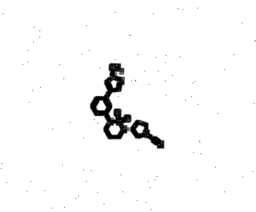 Cn1cc(-c2cccc(N3CCCN([C@@H]4CCN(C#N)C4)S3(=O)=O)c2)cn1